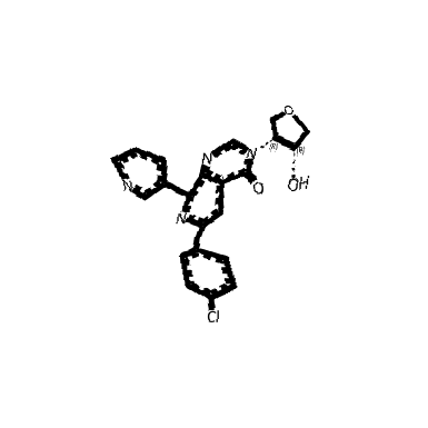 O=c1c2cc(-c3ccc(Cl)cc3)nc(-c3cccnc3)c2ncn1[C@@H]1COC[C@@H]1O